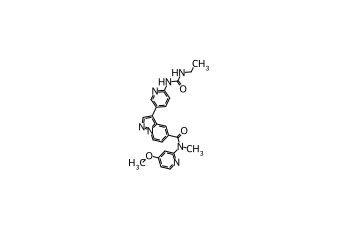 CCNC(=O)Nc1ccc(-c2cnn3ccc(C(=O)N(C)c4cc(OC)ccn4)cc23)cn1